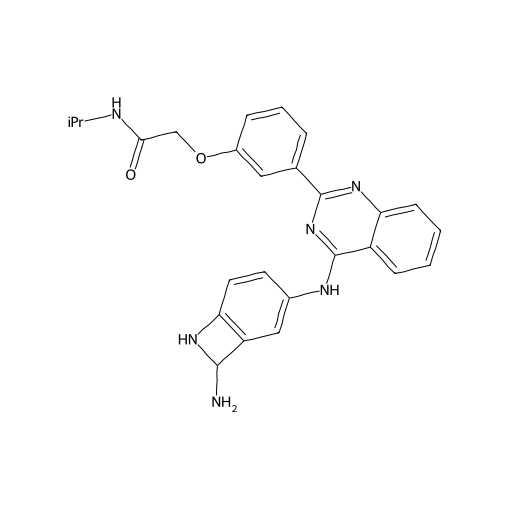 CC(C)NC(=O)COc1cccc(-c2nc(Nc3ccc4c(c3)C(N)N4)c3ccccc3n2)c1